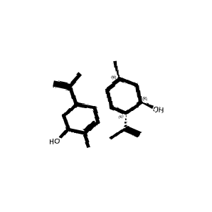 C=C(C)C1CC=C(C)C(O)C1.C=C(C)[C@@H]1CC[C@@H](C)C[C@H]1O